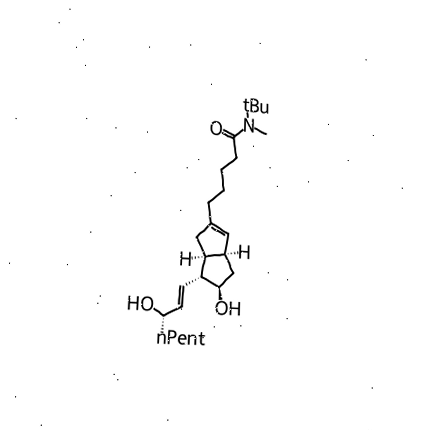 CCCCC[C@H](O)/C=C/[C@@H]1[C@H]2CC(CCCCC(=O)N(C)C(C)(C)C)=C[C@H]2C[C@H]1O